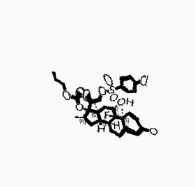 CCCOC(=O)O[C@]1(C(=O)COS(=O)(=O)c2ccc(Cl)cc2)[C@H](C)C[C@H]2[C@@H]3CCC4=CC(=O)C=C[C@]4(C)[C@@]3(F)[C@@H](O)C[C@@]21C